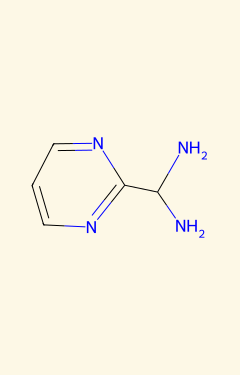 NC(N)c1ncccn1